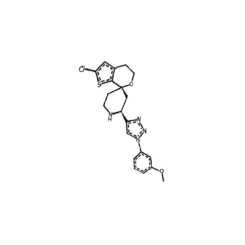 COc1cccc(-n2cc([C@@H]3C[C@]4(CCN3)OCCc3cc(Cl)sc34)nn2)c1